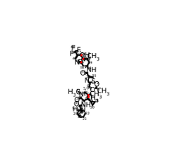 CC(=O)O[C@H](C[C@H](C(C)C)N(C)C(=O)[C@@H](NC(=O)[C@H]1CC2CCN1CC2)[C@@H](C)C1CC1)c1nc(C(=O)N[C@@H](Cc2ncc(C(F)(F)F)cn2)C[C@H](C)C(=O)O)cs1